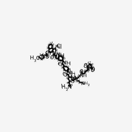 CN1CCN(C(=O)Oc2cc3c(c4ccccc24)[C@H](CCl)CN3C(=O)c2cc3cc(NC(=O)c4ccc(NC(=O)[C@H](CCCCN)NC(=O)[C@H](CCCCN)NCCNC(=O)CCCN5C(=O)C=CC5=O)cc4)ccc3[nH]2)CC1